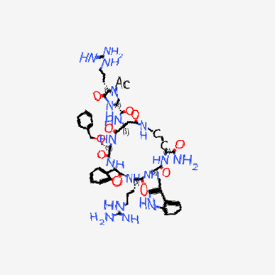 CC(=O)N1C[C@H](C(=O)N[C@H]2CC(=O)NCCCC[C@@H](C(N)=O)NC(=O)[C@H](Cc3c[nH]c4ccccc34)NC(=O)[C@H](CCCNC(=N)N)NC(=O)C(c3ccccc3)NC(=O)[C@H](COCc3ccccc3)NC2=O)NC(=O)[C@@H]1CCCNC(=N)N